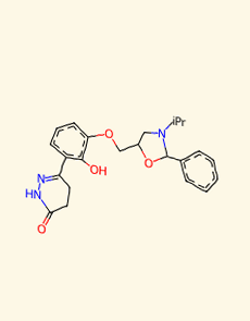 CC(C)N1CC(COc2cccc(C3=NNC(=O)CC3)c2O)OC1c1ccccc1